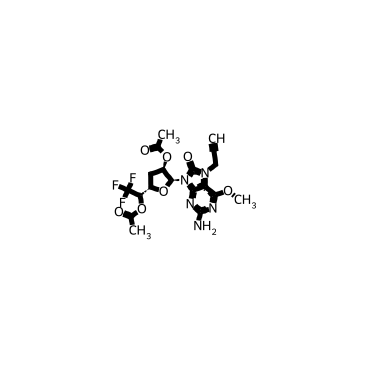 C#CCn1c(=O)n([C@@H]2O[C@H](C(OC(C)=O)C(F)(F)F)C[C@H]2OC(C)=O)c2nc(N)nc(OC)c21